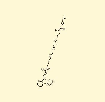 CC(C)COCC(=O)NCCCOCCOCCOCCCCNC(=O)OCC1c2ccccc2-c2ccccc21